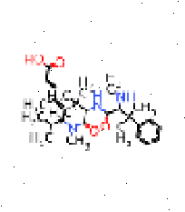 CNC(C(=O)NC(C(=O)N(C)C(/C=C(C)/C=C/C(=O)O)C(C)C)C(C)(C)C)C(C)(C)c1ccccc1